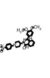 COc1ccc(C2=NN(C3CCN(c4ccc([N+](=O)[O-])cc4)CC3)C(=O)[C@@H]3CC=CC[C@H]23)cc1OC